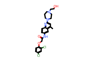 Cc1cc(N2CCCN(CCO)CC2)nc2ccc(NC(=O)COc3ccc(Cl)cc3Cl)cc12